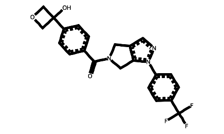 O=C(c1ccc(C2(O)COC2)cc1)N1Cc2cnn(-c3ccc(C(F)(F)F)cc3)c2C1